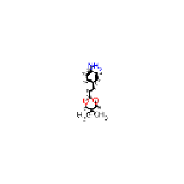 CC1(C)COC(CCc2ccc(N)cc2)OC1